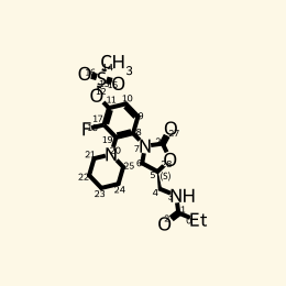 CCC(=O)NC[C@H]1CN(c2ccc(OS(C)(=O)=O)c(F)c2N2CCCCC2)C(=O)O1